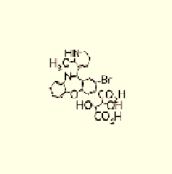 CC1NCCC=C1C1=Nc2ccccc2Oc2ccc(Br)cc21.O=C(O)C(O)C(O)C(=O)O